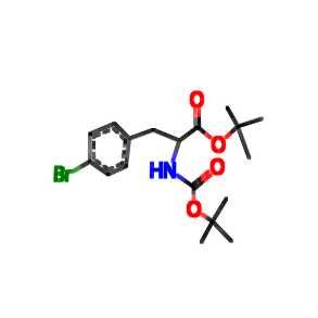 CC(C)(C)OC(=O)NC(Cc1ccc(Br)cc1)C(=O)OC(C)(C)C